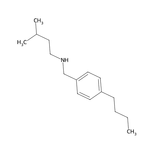 CCCCc1ccc(CNCCC(C)C)cc1